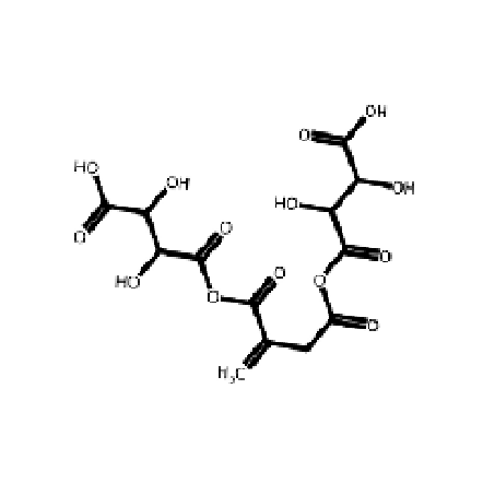 C=C(CC(=O)OC(=O)C(O)C(O)C(=O)O)C(=O)OC(=O)C(O)C(O)C(=O)O